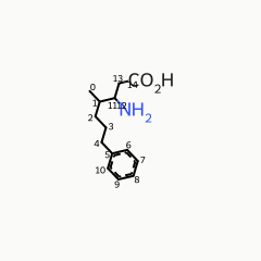 CC(CCCc1ccccc1)C(N)CC(=O)O